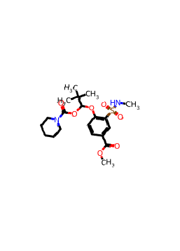 CNS(=O)(=O)c1cc(C(=O)OC)ccc1OC(OC(=O)N1CCCCC1)C(C)(C)C